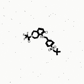 CC(C)(C)CS(=O)(=O)c1ccc(CNc2c(Cl)ccc3c2CCN(C(=O)C(F)(F)F)CC3)cc1